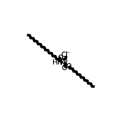 CCCCCCCCCCCCCCCCCC(=O)N[N+](C)(CCC)CC(=O)OCCCCCCCCCCCCCC.[Cl-]